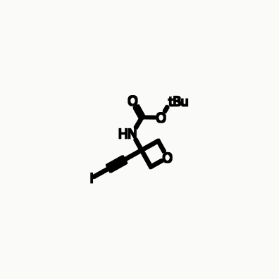 CC(C)(C)OC(=O)NC1(C#CI)COC1